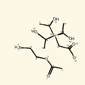 CC(=O)OCCN.CC(O)[N+](CC(=O)[O-])(C(C)O)C(C)O